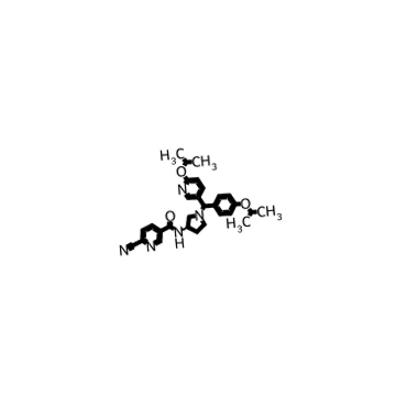 CC(C)Oc1ccc(C(c2ccc(OC(C)C)nc2)N2CC[C@@H](NC(=O)c3ccc(C#N)nc3)C2)cc1